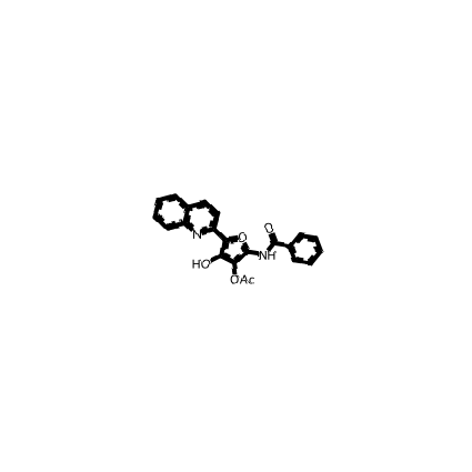 CC(=O)Oc1c(NC(=O)c2ccccc2)oc(-c2ccc3ccccc3n2)c1O